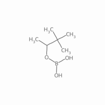 CC(OB(O)O)C(C)(C)C